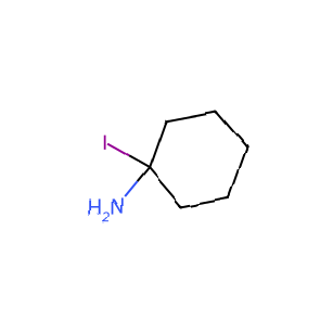 NC1(I)CCCCC1